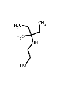 CCC(C)(CC)NCCO